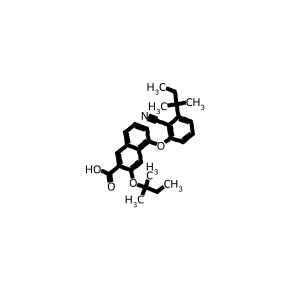 CCC(C)(C)Oc1cc2c(Oc3cccc(C(C)(C)CC)c3C#N)cccc2cc1C(=O)O